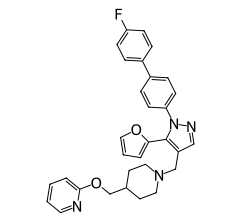 Fc1ccc(-c2ccc(-n3ncc(CN4CCC(COc5ccccn5)CC4)c3-c3ccco3)cc2)cc1